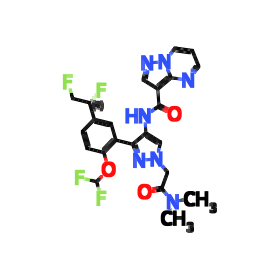 CN(C)C(=O)Cn1cc(NC(=O)c2cnn3cccnc23)c(-c2cc([C@@H](F)CF)ccc2OC(F)F)n1